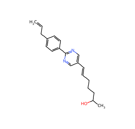 C=CCc1ccc(-c2ncc(/C=C/CCCC(C)O)cn2)cc1